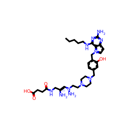 CCCCCNc1nc(N)nc2ccn(Cc3ccc(CN4CCN(CCN(N)/C=C(\N)CNC(=O)CCC(=O)O)CC4)cc3O)c12